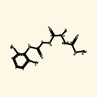 CC(C)c1cccc(C(C)C)c1OC(=O)COC(=O)[C@@H](C)NC(=O)OC(C)(C)C